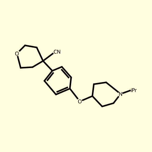 CC(C)N1CCC(Oc2ccc(C3(C#N)CCOCC3)cc2)CC1